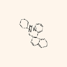 c1ccc(-c2c(CNC3CCCCC3)ccc3ccccc23)nc1